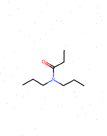 CCCN(CCC)C(=O)CC